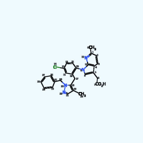 Cc1ccc2c(CC(=O)O)cn(-c3ccc(Cl)cc3Cc3c(C)cnn3Cc3ccccc3)c2n1